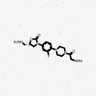 CNCC(=O)N1CCN(c2ccc(N3C[C@H](CNC(C)=O)OC3=O)cc2F)CC1